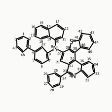 c1ccc(-c2cccc(N(c3cccc4ccccc34)c3cc4c(-c5ccccc5)nc5ccccc5c4c4c3sc3ccccc34)c2)cc1